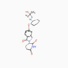 CC(C)(O)CN[C@@H]1CCCC[C@@H]1Oc1ccc2c(c1)CN(C1CCC(=O)NC1=O)C2=O